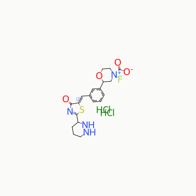 Cl.Cl.O=C1N=C(C2CCCNN2)S/C1=C\c1cccc(C2C[N+](F)(C(=O)[O-])CCO2)c1